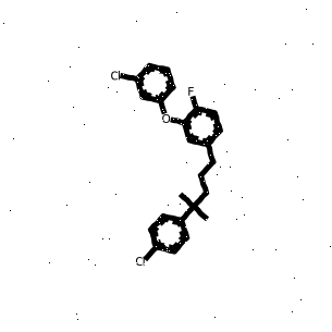 CC(C)(CCCc1ccc(F)c(Oc2cccc(Cl)c2)c1)c1ccc(Cl)cc1